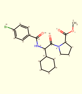 COC(=O)C1CCCN1C(=O)C(NC(=O)c1ccc(Br)cc1)C1CCCCC1